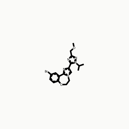 COCc1nc(-c2cn3c(n2)-c2cc(Br)ccc2OCC3)n(C(C)C)n1